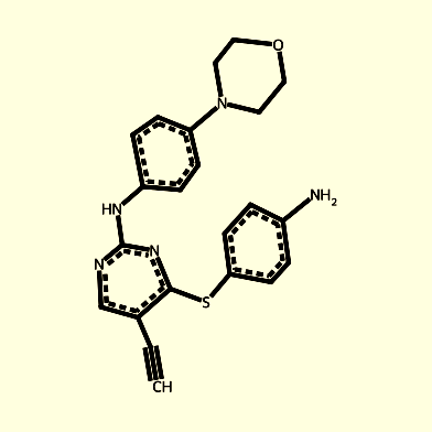 C#Cc1cnc(Nc2ccc(N3CCOCC3)cc2)nc1Sc1ccc(N)cc1